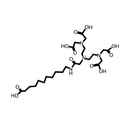 O=C(O)CCCCCCCCCCNC(=O)CN(CCN(CC(=O)O)CC(=O)O)CCN(CC(=O)O)CC(=O)O